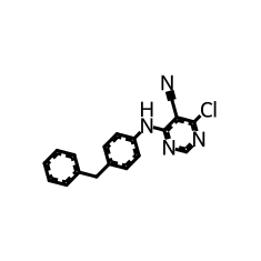 N#Cc1c(Cl)ncnc1Nc1ccc(Cc2ccccc2)cc1